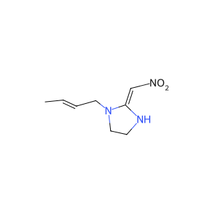 C/C=C/CN1CCN/C1=C\[N+](=O)[O-]